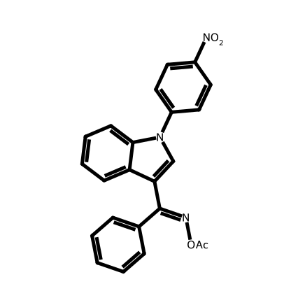 CC(=O)O/N=C(\c1ccccc1)c1cn(-c2ccc([N+](=O)[O-])cc2)c2ccccc12